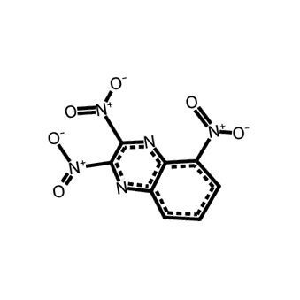 O=[N+]([O-])c1nc2cccc([N+](=O)[O-])c2nc1[N+](=O)[O-]